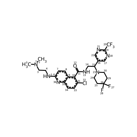 CN(C)CCNc1ccc2c(C(=O)NCC(c3cnc(C(F)(F)F)nc3)N3CCC(F)(F)CC3)c(Cl)ccc2n1